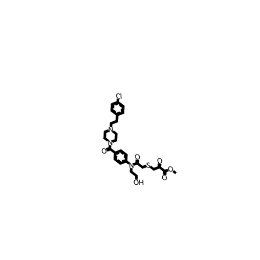 COC(=O)C(=O)CSCC(=O)N(CCO)c1ccc(C(=O)N2CCN(CCc3ccc(Cl)cc3)CC2)cc1